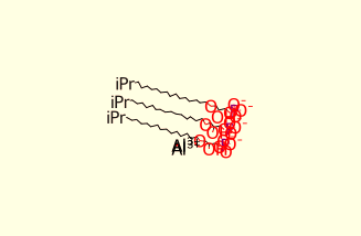 CC(C)CCCCCCCCCCCCCCCOCC(O)COP(=O)([O-])[O-].CC(C)CCCCCCCCCCCCCCCOCC(O)COP(=O)([O-])[O-].CC(C)CCCCCCCCCCCCCCCOCC(O)COP(=O)([O-])[O-].[Al+3].[Al+3]